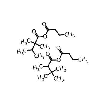 CCCC(=O)OC(=O)C(C)(C)C(C)C.CCCC(=O)OC(=O)C(C)C(C)(C)C